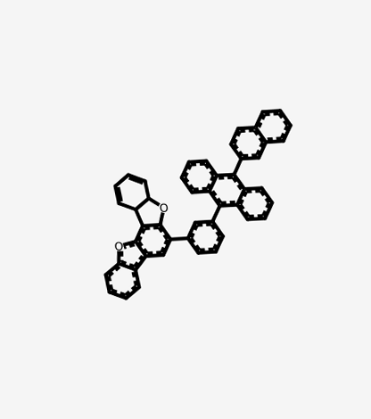 C1=CC2Oc3c(-c4cccc(-c5c6ccccc6c(-c6ccc7ccccc7c6)c6ccccc56)c4)cc4c(oc5ccccc54)c3C2C=C1